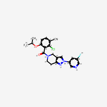 CC(Oc1ccc(C#N)c(Cl)c1C(=O)N1CCc2nn(-c3cncc(F)c3)cc2C1)C(F)(F)F